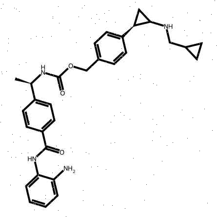 C[C@@H](NC(=O)OCc1ccc([C@H]2CC2NCC2CC2)cc1)c1ccc(C(=O)Nc2ccccc2N)cc1